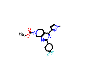 Cn1ccc(-c2nc(C3CCC(F)(F)CC3)nc3c2CCN(C(=O)OC(C)(C)C)C3)n1